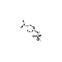 CCC(=O)c1ccc(NS(=O)(=O)C(F)(F)F)cc1